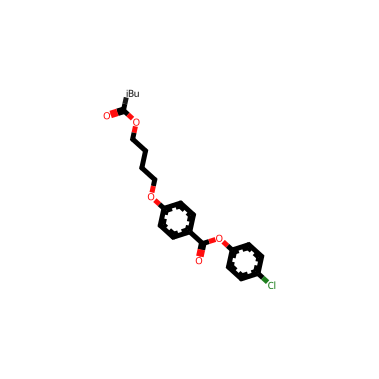 CCC(C)C(=O)OCCCCOc1ccc(C(=O)Oc2ccc(Cl)cc2)cc1